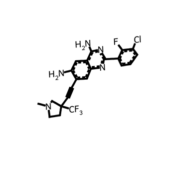 CN1CCC(C#Cc2cc3nc(-c4cccc(Cl)c4F)nc(N)c3cc2N)(C(F)(F)F)C1